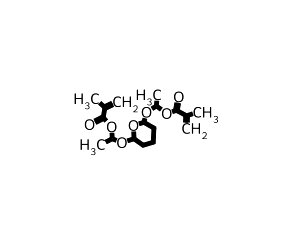 C=C(C)C(=O)OC(C)OC1CCCC(OC(C)OC(=O)C(=C)C)O1